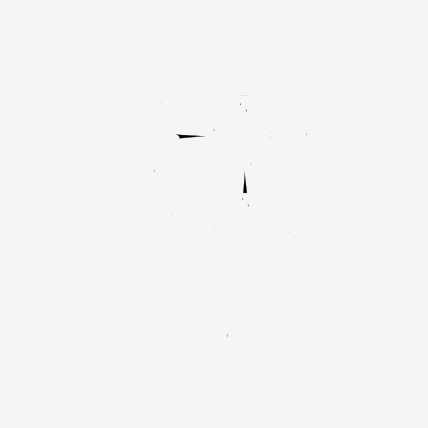 COC(=O)[C@H]1NC(=O)[C@H]1N1C(=O)c2ccccc2C1=O